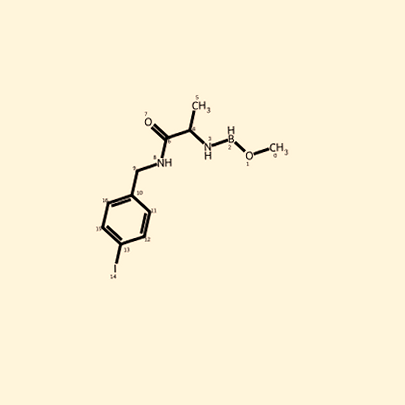 COBNC(C)C(=O)NCc1ccc(I)cc1